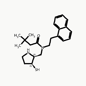 CC(C)(C)CC(=O)N(CCc1cccc2ccccc12)C[C@@H]1NCC[C@@H]1S